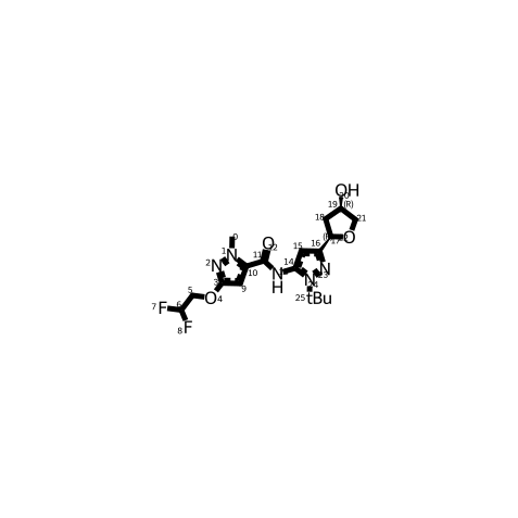 Cn1nc(OCC(F)F)cc1C(=O)Nc1cc([C@H]2C[C@@H](O)CO2)nn1C(C)(C)C